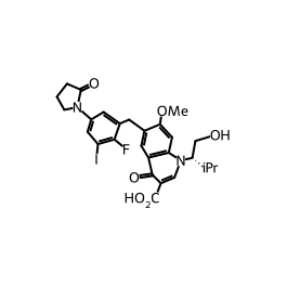 COc1cc2c(cc1Cc1cc(N3CCCC3=O)cc(I)c1F)c(=O)c(C(=O)O)cn2[C@H](CO)C(C)C